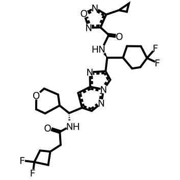 O=C(CC1CC(F)(F)C1)N[C@@H](c1cnn2cc([C@@H](NC(=O)c3nonc3C3CC3)C3CCC(F)(F)CC3)nc2c1)C1CCOCC1